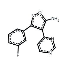 Nc1onc(-c2cccc(F)c2)c1-c1ccncn1